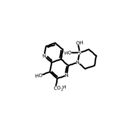 O=C(O)c1nc(N2CCCCS2(O)O)c2cccnc2c1O